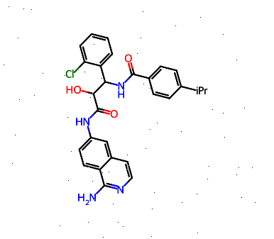 CC(C)c1ccc(C(=O)NC(c2ccccc2Cl)C(O)C(=O)Nc2ccc3c(N)nccc3c2)cc1